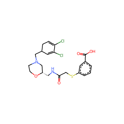 O=C(CSc1cccc(C(=O)O)c1)NC[C@H]1CN(CC2C=C(Cl)C(Cl)=CC2)CCO1